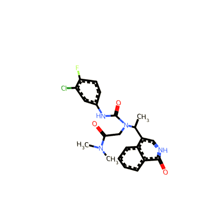 CC(c1c[nH]c(=O)c2ccccc12)N(CC(=O)N(C)C)C(=O)Nc1ccc(F)c(Cl)c1